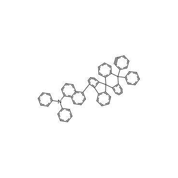 c1cccc(C2(c3ccccc3)c3ccccc3C3(c4ccccc4-c4c(-c5cccc6c(N(c7ccccc7)c7ccccc7)cccc56)cccc43)c3ccccc32)c#1